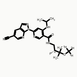 [2H]C([2H])([2H])OC(C)(C)[C@H](F)CNC(=O)c1cnc(-n2ncc3cc(C#N)cnc32)cc1NC(C)C